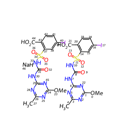 COc1nc(C)nc(NC(=O)NS(=O)(=O)c2cc(I)ccc2C(=O)O)n1.COc1nc(C)nc(NC(=O)NS(=O)(=O)c2cc(I)ccc2C(=O)O)n1.[NaH]